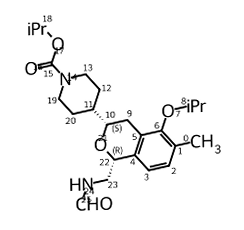 Cc1ccc2c(c1OC(C)C)C[C@@H](C1CCN(C(=O)OC(C)C)CC1)O[C@H]2CNC=O